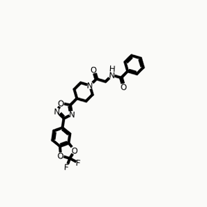 O=C(NCC(=O)N1CCC(c2nc(-c3ccc4c(c3)OC(F)(F)O4)no2)CC1)c1ccccc1